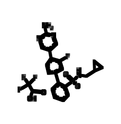 Nc1ncc(-c2ccc(-c3ccccc3S(=O)(=O)NCC3CC3)cc2F)cn1.O=C(O)C(F)(F)F